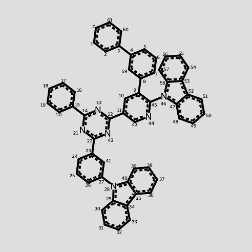 c1ccc(-c2cccc(-c3cc(-c4nc(-c5ccccc5)nc(-c5cccc(-n6c7ccccc7c7ccccc76)c5)n4)cnc3-n3c4ccccc4c4ccccc43)c2)cc1